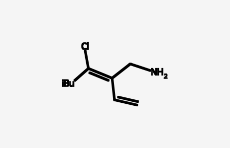 C=C/C(CN)=C(/Cl)C(C)CC